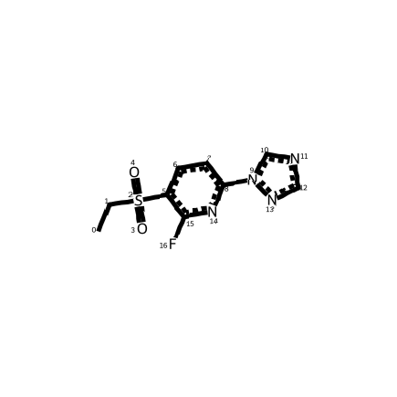 CCS(=O)(=O)c1ccc(-n2cncn2)nc1F